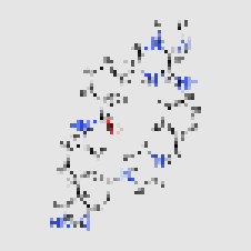 CCN1CCN(Cc2ccc(Nc3nc(-c4cccc(C(=O)Nc5ccc(-c6cn[nH]c6)cc5)c4)cn4ccnc34)cc2)CC1